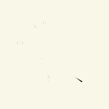 O=C(N[C@@H]1C[C@H]1c1ccccc1)C12CC3CC(CC(Nc4ccc(-c5ccccc5)nn4)(C3)C1)C2